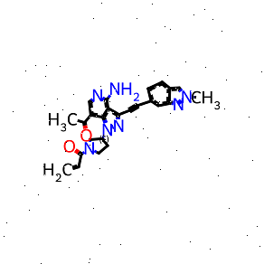 C=CC(=O)N1CC[C@H](n2nc(C#Cc3ccc4cn(C)nc4c3)c3c(N)ncc(C(C)=O)c32)C1